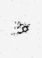 CCCCCCC(C)ON=O.O=C(O)C=Cc1ccc(Cl)cc1